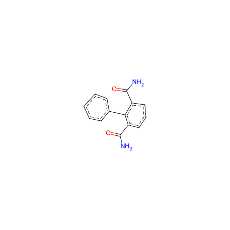 NC(=O)c1cccc(C(N)=O)c1-c1ccccc1